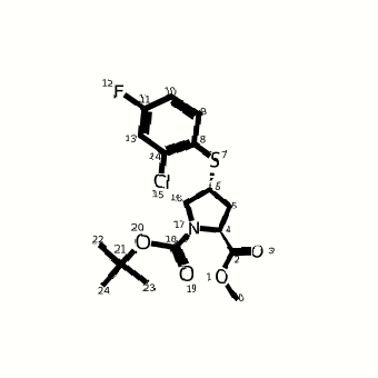 COC(=O)[C@@H]1C[C@@H](Sc2ccc(F)cc2Cl)CN1C(=O)OC(C)(C)C